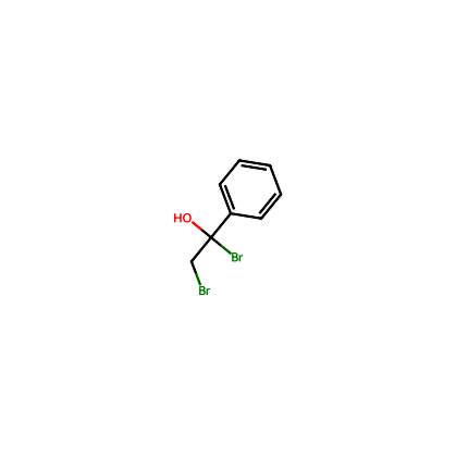 OC(Br)(CBr)c1ccccc1